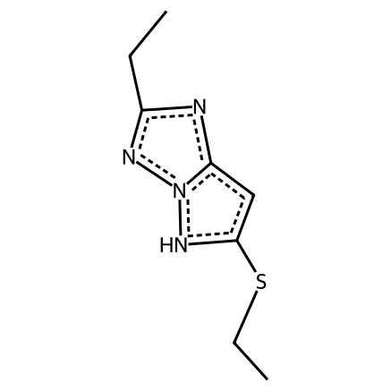 CCSc1cc2nc(CC)nn2[nH]1